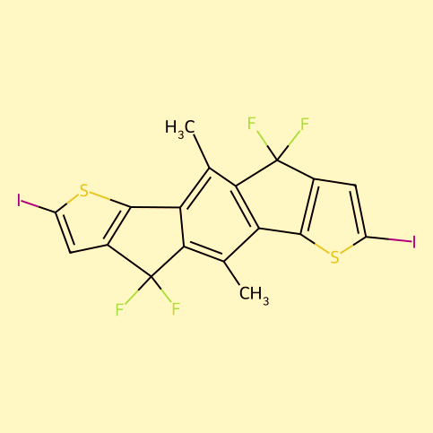 Cc1c2c(c(C)c3c1C(F)(F)c1cc(I)sc1-3)C(F)(F)c1cc(I)sc1-2